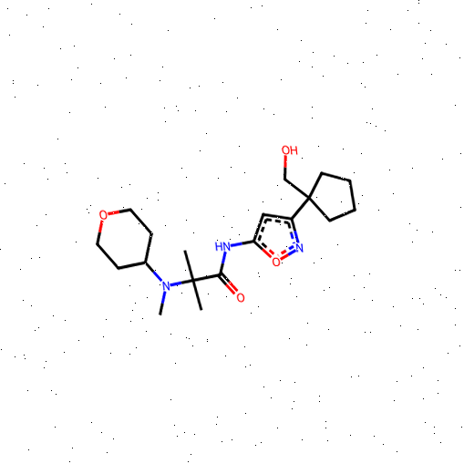 CN(C1CCOCC1)C(C)(C)C(=O)Nc1cc(C2(CO)CCCC2)no1